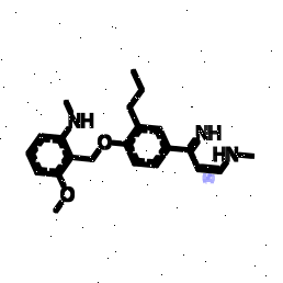 CCCc1cc(C(=N)/C=C\NC)ccc1OCc1c(NC)cccc1OC